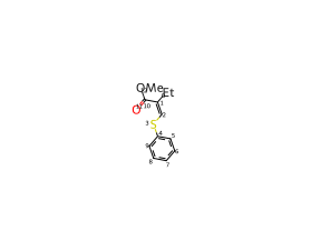 CCC(=CSc1ccccc1)C(=O)OC